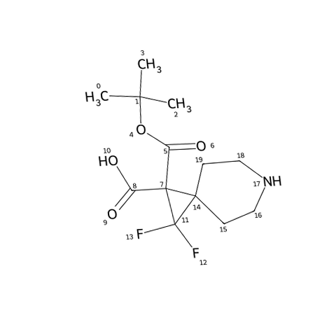 CC(C)(C)OC(=O)C1(C(=O)O)C(F)(F)C12CCNCC2